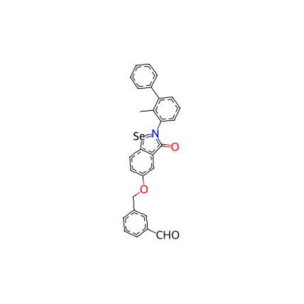 Cc1c(-c2ccccc2)cccc1-n1[se]c2ccc(OCc3cccc(C=O)c3)cc2c1=O